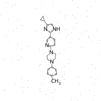 Cc1ccc(N2CCN(c3ccc(-c4nc(C5CC5)c[nH]4)cn3)CC2)cc1